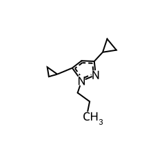 CCCn1nc(C2CC2)cc1C1CC1